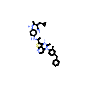 C=C(NC1CCC(NC(=C)c2sc3nccc4c3c2[nH]c(=C)n4-c2ccc(Cc3ccccc3)cc2C)CC1)/C(C#N)=C/C1CC1